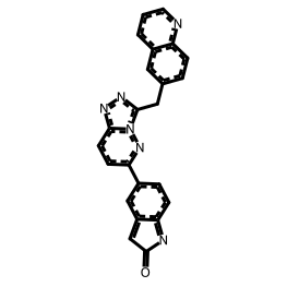 O=C1C=c2cc(-c3ccc4nnc(Cc5ccc6ncccc6c5)n4n3)ccc2=N1